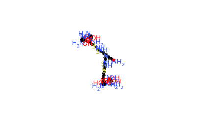 NCCCCCN(CCCCNC(=S)NCCSCCCCOC1[C@@H](O[C@@H]2OC(CN)[C@@H](O)CC2N)C(N)C[C@@H](N)[C@H]1O)CCCNC(=S)NCCSCCCCCO[C@@H]1C(O)[C@H](N)CC(N)[C@@H]1O[C@@H]1OC(CN)[C@@H](O)[C@H](O)C1N